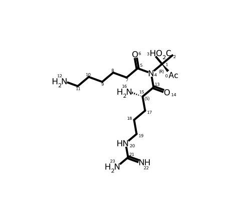 CC(=O)[C@](C)(C(=O)O)N(C(=O)CCCCCN)C(=O)[C@@H](N)CCCNC(=N)N